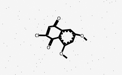 COc1cc(OC)c2c(c1)C(=O)C=C(Cl)C2=O